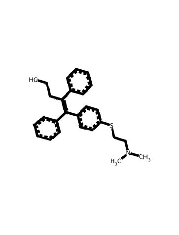 CN(C)CCSc1ccc(/C(=C(/CCO)c2ccccc2)c2ccccc2)cc1